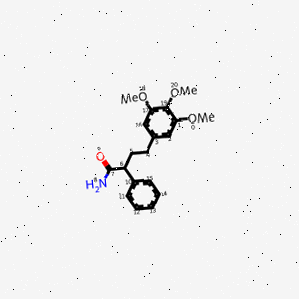 COc1cc(CCC(C(N)=O)c2ccccc2)cc(OC)c1OC